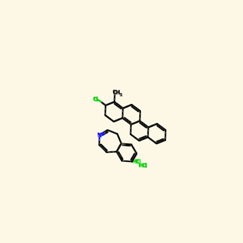 C1=Cc2ccccc2CC=N1.CC1=c2ccc3c(c2CCC1Cl)CC=c1ccccc1=3.Cl.Cl